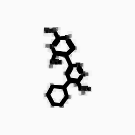 COc1ncc(-c2cc(C3CCCCC3)c(OC)nn2)c(OC)n1